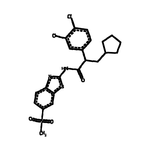 CS(=O)(=O)c1ccc2nc(NC(=O)C(CC3CCCC3)c3ccc(Cl)c(Cl)c3)sc2c1